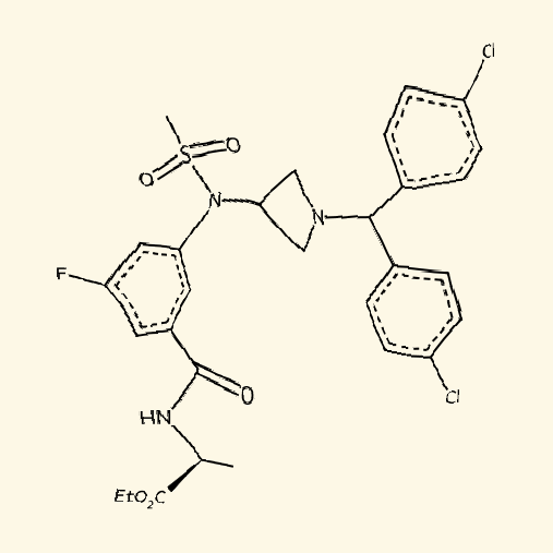 CCOC(=O)[C@H](C)NC(=O)c1cc(F)cc(N(C2CN(C(c3ccc(Cl)cc3)c3ccc(Cl)cc3)C2)S(C)(=O)=O)c1